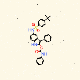 CC(C)(C)c1ccc(S(=O)(=O)Nc2ccc3[nH]c(OC(=O)Nc4ccccc4)c(-c4ccccc4)c3c2)cc1